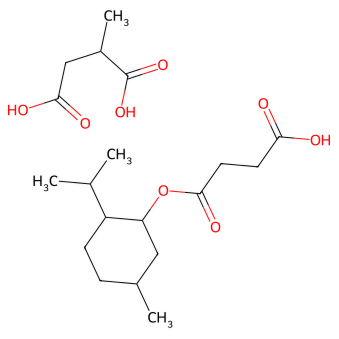 CC(CC(=O)O)C(=O)O.CC1CCC(C(C)C)C(OC(=O)CCC(=O)O)C1